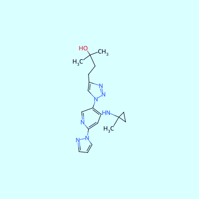 CC(C)(O)CCc1cn(-c2cnc(-n3cccn3)cc2NC2(C)CC2)nn1